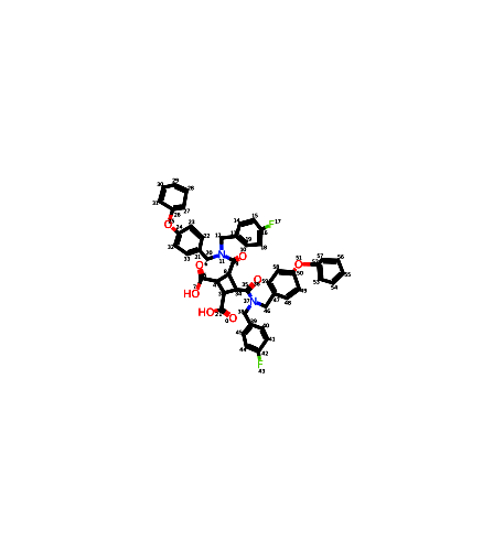 O=C(O)C1C(C(=O)O)C(C(=O)N(Cc2ccc(F)cc2)Cc2ccc(Oc3ccccc3)cc2)C1C(=O)N(Cc1ccc(F)cc1)Cc1ccc(Oc2ccccc2)cc1